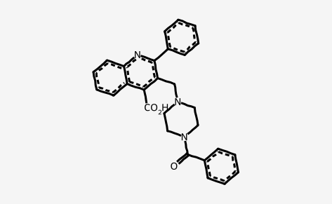 O=C(O)c1c(CN2CCN(C(=O)c3ccccc3)CC2)c(-c2ccccc2)nc2ccccc12